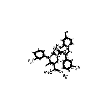 COC(=O)C1=C(C)N(c2cccc(C(F)(F)F)c2)c2n[nH]c(=O)n2[C@@H]1c1ccc(C#N)cc1CC[n+]1ccc(C)cc1C.[Br-]